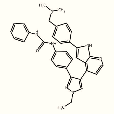 CCn1cc(-c2ccnc3[nH]c(-c4ccc(CN(C)C)cc4)cc23)c(-c2ccc(NC(=O)Nc3ccccc3)cc2)n1